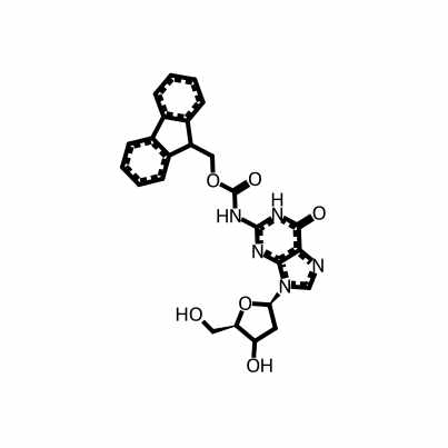 O=C(Nc1nc2c(ncn2[C@H]2CC(O)[C@@H](CO)O2)c(=O)[nH]1)OCC1c2ccccc2-c2ccccc21